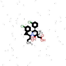 CC[C@@H](O)C(C1CC1)N1C(=O)[C@@](C)(CC(=O)O)C[C@H](c2cccc(Cl)c2)[C@H]1c1ccc(Cl)cc1